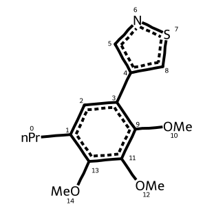 CCCc1cc(-c2cnsc2)c(OC)c(OC)c1OC